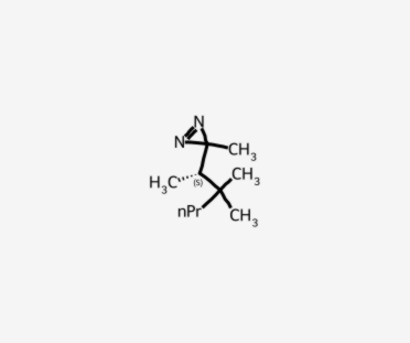 CCCC(C)(C)[C@H](C)C1(C)N=N1